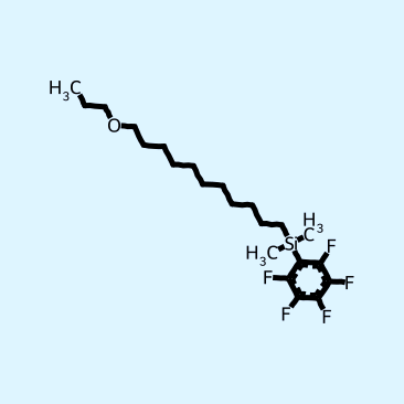 CCCOCCCCCCCCCCC[Si](C)(C)c1c(F)c(F)c(F)c(F)c1F